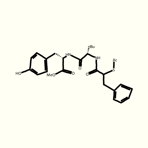 CCCC[C@H](NC(=O)C(Cc1ccccc1)SC(C)=O)C(=O)N[C@@H](Cc1ccc(O)cc1)C(=O)OC